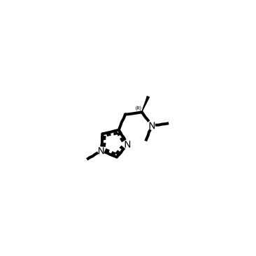 C[C@H](Cc1cn(C)cn1)N(C)C